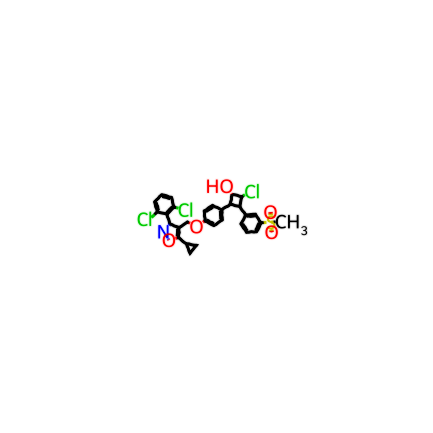 CS(=O)(=O)c1cccc(C2C(Cl)C(O)C2c2ccc(OCc3c(-c4c(Cl)cccc4Cl)noc3C3CC3)cc2)c1